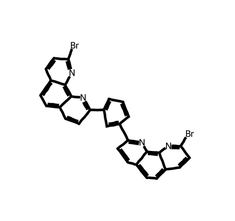 Brc1ccc2ccc3ccc(-c4cccc(-c5ccc6ccc7ccc(Br)nc7c6n5)c4)nc3c2n1